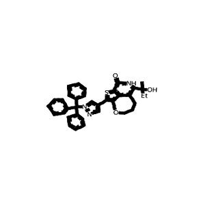 CCC(C)(O)c1[nH]c(=O)c2sc(-c3cnn(C(c4ccccc4)(c4ccccc4)c4ccccc4)c3)c3c2c1CCCO3